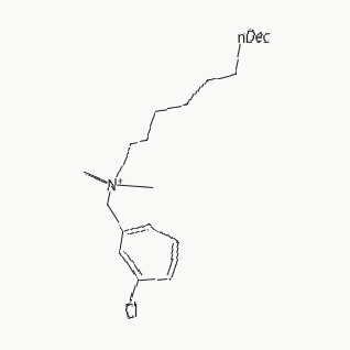 CCCCCCCCCCCCCCCC[N+](C)(C)Cc1cccc(Cl)c1